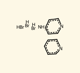 Br.Br.Br.N.c1ccncc1.c1ccncc1